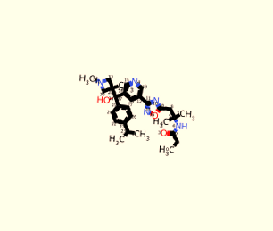 CCC(=O)NC(C)(C)Cc1nc(-c2cncc([C@@](O)(c3ccc(C(C)C)cc3)C3(C)CN(C)C3)c2)no1